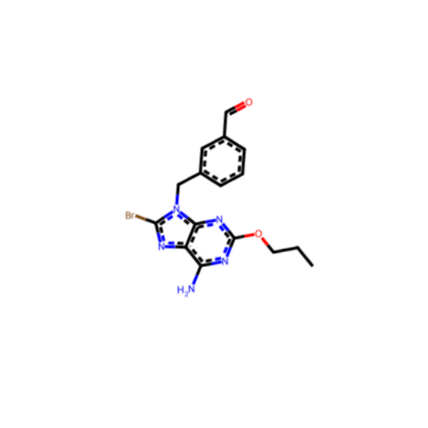 CCCOc1nc(N)c2nc(Br)n(Cc3cccc(C=O)c3)c2n1